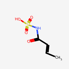 CC=CC(=O)NS(=O)(=O)O